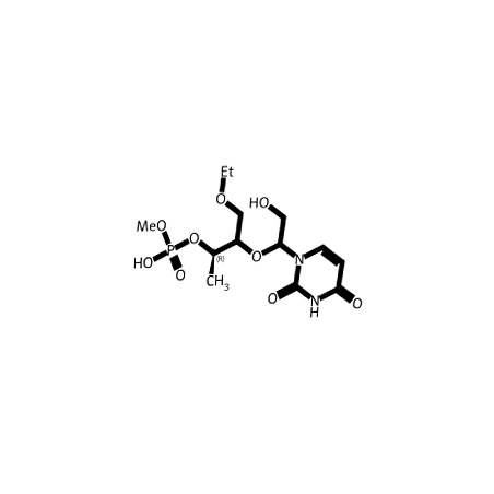 CCOCC(OC(CO)n1ccc(=O)[nH]c1=O)[C@@H](C)OP(=O)(O)OC